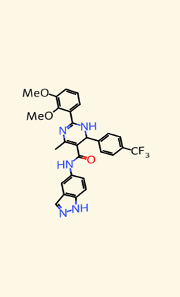 COc1cccc(C2=NC(C)=C(C(=O)Nc3ccc4[nH]ncc4c3)C(c3ccc(C(F)(F)F)cc3)N2)c1OC